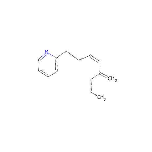 C=C(/C=C\C)/C=C\CCc1ccccn1